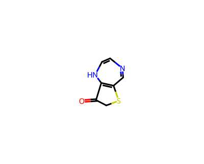 O=C1CSC2=C1NC=CN=C2